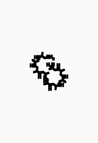 CC(N)CNC(C)CNC(C)CNC(C)CNC(C)CNC(C)CNC(C)CNC(C)CNC(C)CN